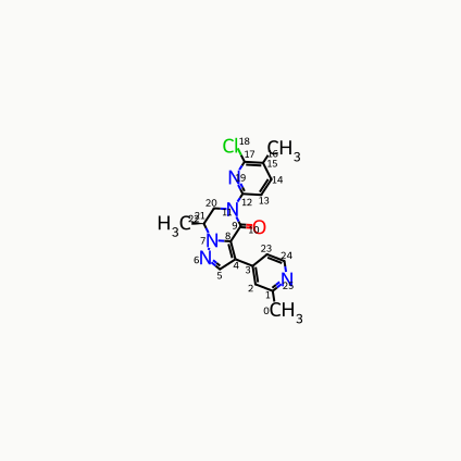 Cc1cc(-c2cnn3c2C(=O)N(c2ccc(C)c(Cl)n2)C[C@@H]3C)ccn1